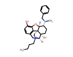 CCCCN1CC[C@]23c4c5ccc(O)c4O[C@H]2[C@H](N(C)Cc2ccccc2)CC[C@@]3(O)[C@H]1C5